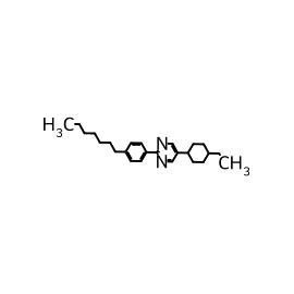 CCCCCCCc1ccc(-c2ncc(C3CCC(CC)CC3)cn2)cc1